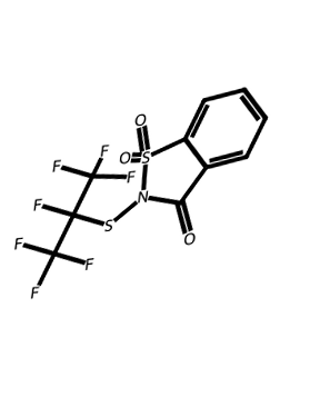 O=C1c2ccccc2S(=O)(=O)N1SC(F)(C(F)(F)F)C(F)(F)F